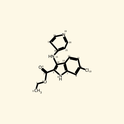 CCOC(=O)c1[nH]c2cc(Cl)ccc2c1Nc1ccncc1